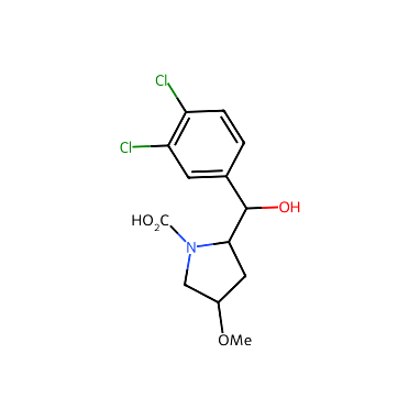 COC1CC(C(O)c2ccc(Cl)c(Cl)c2)N(C(=O)O)C1